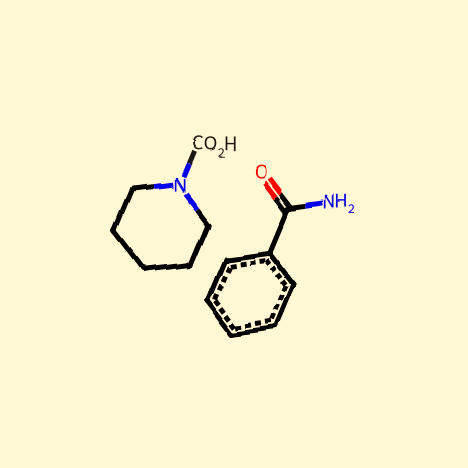 NC(=O)c1ccccc1.O=C(O)N1CCCCC1